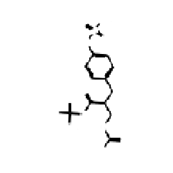 CC(=O)NCC(Cc1ccc(OS(C)(=O)=O)cc1)C(=O)OC(C)(C)C